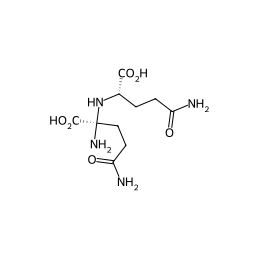 NC(=O)CC[C@H](N[C@](N)(CCC(N)=O)C(=O)O)C(=O)O